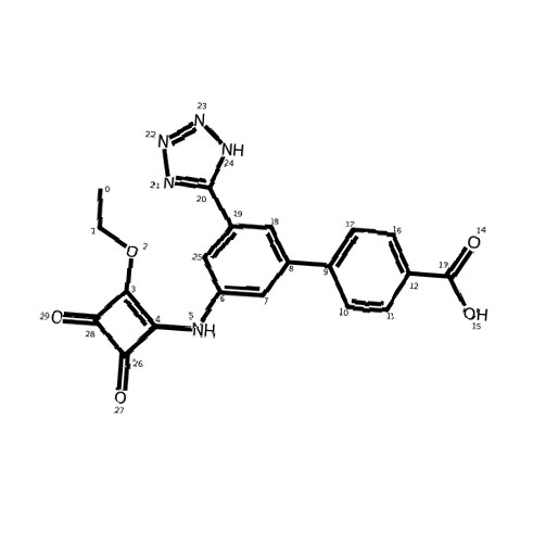 CCOc1c(Nc2cc(-c3ccc(C(=O)O)cc3)cc(-c3nnn[nH]3)c2)c(=O)c1=O